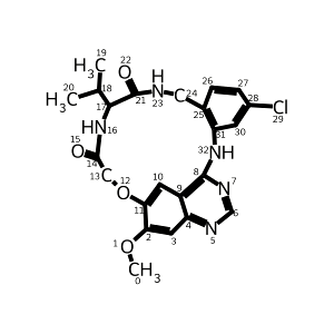 COc1cc2ncnc3c2cc1OCC(=O)NC(C(C)C)C(=O)NCc1ccc(Cl)cc1N3